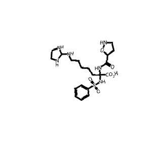 O=C(NC(CCCCCNC1NCCN1)(NS(=O)(=O)c1ccccc1)C(=O)O)C1CCNO1